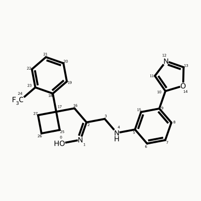 ON=C(CNc1cccc(-c2cnco2)c1)CC1(c2ccccc2C(F)(F)F)CCC1